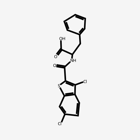 O=C(NC(Cc1ccccc1)C(=O)O)c1sc2cc(Cl)ccc2c1Cl